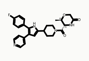 C[C@H]1OCC(=O)N[C@@H]1C(=O)N1CCC(c2cc(-c3ccncc3)c(-c3ccc(F)cc3)[nH]2)CC1